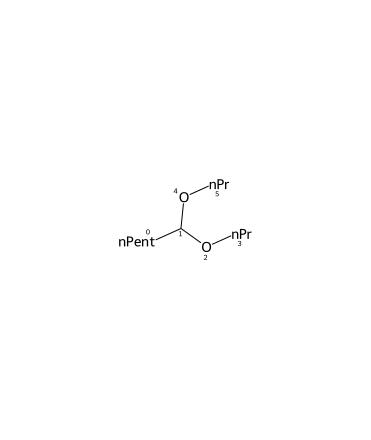 CCCCCC(OCCC)OCCC